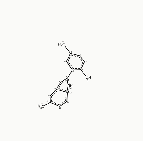 Cc1ccc(O)c(-c2cc3cc(C)ccc3[nH]2)c1